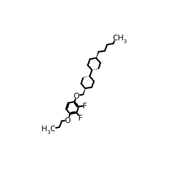 CCCCC[C@H]1CC[C@H]([C@H]2CC[C@H](COc3ccc(OCCC)c(F)c3F)CC2)CC1